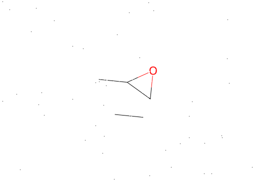 CC.CC1CO1